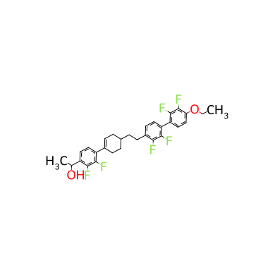 CCOc1ccc(-c2ccc(CCC3CC=C(c4ccc(C(C)O)c(F)c4F)CC3)c(F)c2F)c(F)c1F